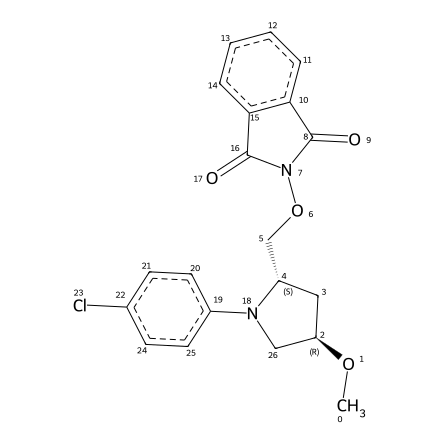 CO[C@@H]1C[C@@H](CON2C(=O)c3ccccc3C2=O)N(c2ccc(Cl)cc2)C1